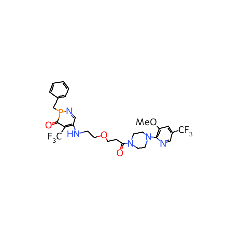 COc1cc(C(F)(F)F)cnc1N1CCN(C(=O)CCOCCNc2cnp(Cc3ccccc3)c(=O)c2C(F)(F)F)CC1